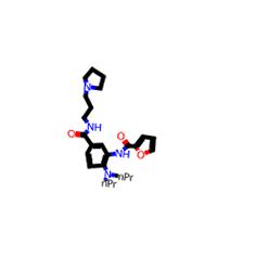 CCCN(CCC)c1ccc(C(=O)NCCCN2CCCC2)cc1NC(=O)c1ccco1